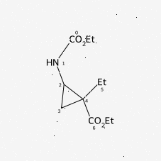 CCOC(=O)NC1CC1(CC)C(=O)OCC